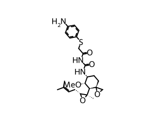 CO[C@@H]1[C@H](NC(=O)NC(=O)CSc2ccc(N)cc2)CC[C@]2(CO2)[C@H]1[C@@]1(C)O[C@@H]1CC=C(C)C